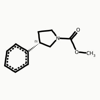 COC(=O)N1CC[C@@H](c2ccccc2)C1